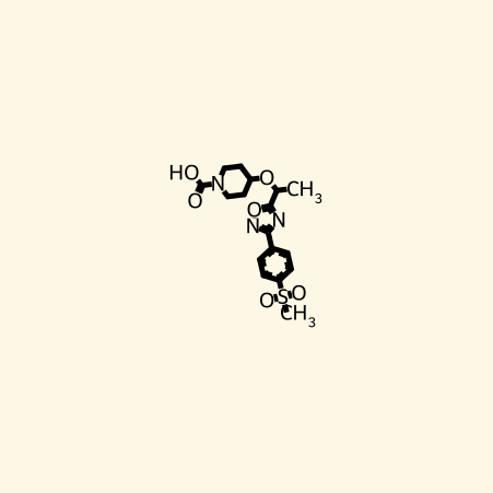 CC(OC1CCN(C(=O)O)CC1)c1nc(-c2ccc(S(C)(=O)=O)cc2)no1